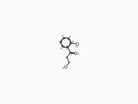 [O]CCC(=O)c1ccccc1Cl